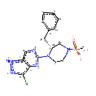 CS(=O)(=O)N1CCN(c2ncc3[nH]nc(Cl)c3n2)[C@H](Cc2ccccc2)C1